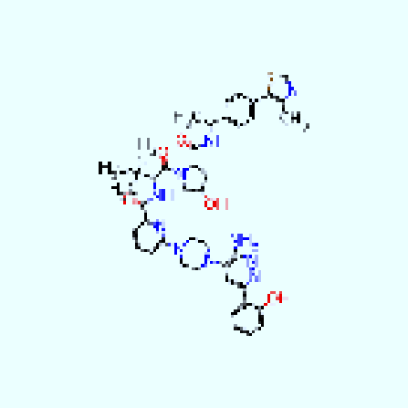 Cc1ncsc1-c1ccc(C(C)NC(=O)[C@@H]2C[C@@H](O)CN2C(=O)C(NC(=O)c2cccc(N3CCN(c4cc(-c5ccccc5O)nnc4N)CC3)n2)C(C)(C)C)cc1